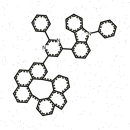 c1ccc(-c2nc(-c3cc4ccc5cccc6c7cccc8ccc9cccc(c(c3)c4c56)c9c87)cc(-c3cccc4c3c3ccccc3n4-c3ccccc3)n2)cc1